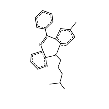 Cc1ccc2c(c1)C(c1ccccc1)=Nc1cccnc1N2CCCN(C)C